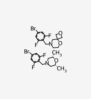 C[C@@H]1CN(Cc2c(F)cc(Br)cc2F)C[C@H](C)O1.Fc1cc(Br)cc(F)c1CN1CCOC2(COC2)C1